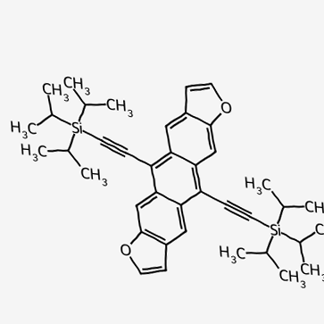 CC(C)[Si](C#Cc1c2cc3ccoc3cc2c(C#C[Si](C(C)C)(C(C)C)C(C)C)c2cc3ccoc3cc12)(C(C)C)C(C)C